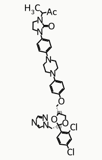 CC(=O)C(C)N1CCN(c2ccc(N3CCN(c4ccc(OC[C@@H]5CO[C@@](Cn6cncn6)(c6ccc(Cl)cc6Cl)O5)cc4)CC3)cc2)C1=O